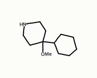 COC1(C2CCCCC2)CCNCC1